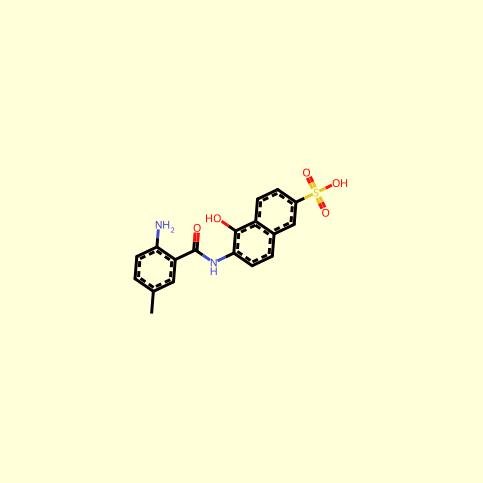 Cc1ccc(N)c(C(=O)Nc2ccc3cc(S(=O)(=O)O)ccc3c2O)c1